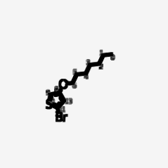 CCCCCCCOc1csc(Br)c1